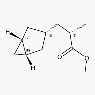 COC(=O)[C@@H](C)C[C@@H]1C[C@@H]2C[C@@H]2C1